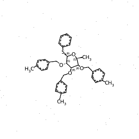 Cc1ccc(CO[C@@H]2[C@H](OCc3ccc(C)cc3)[C@H](C)O[C@H](Sc3ccccc3)[C@H]2OCc2ccc(C)cc2)cc1